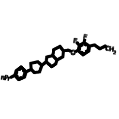 C=CCCc1ccc(OCC2CCC3CC(C4CCC(c5ccc(CCC)cc5)CC4)CCC3C2)c(F)c1F